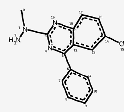 CN(N)c1nc(-c2ccccc2)c2cc(Cl)ccc2n1